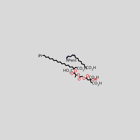 CC(C)CCCCCCCCCCCCCCCC(CC(=O)O)(OC(=O)C(C)OC(=O)COC(=O)CC(O)(CC(=O)O)C(=O)O)C(=O)O.CCCCC/C=C\C/C=C\CCCCCCCC(=O)O